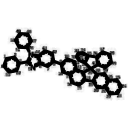 c1ccc(-c2nc3cc(-c4ccc5c6c(ccc5c4)-c4cc5ccccc5cc4C64c5ccccc5-c5ccccc54)ccc3n2-c2ccccc2)cc1